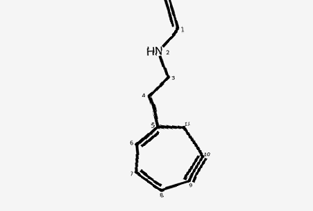 C=CNCCC1=CC=CC#CC1